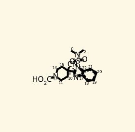 CN(C)S(=O)(=O)n1c(C2(C#N)CCN(C(=O)O)CC2)nc2ccccc21